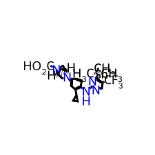 [CH3][Sn]([CH3])([CH3])[c]1nc(Nc2ccc(N3C[C@H]4C[C@@H]3CN4C(=O)O)cc2C2CC2)ncc1C(F)(F)F